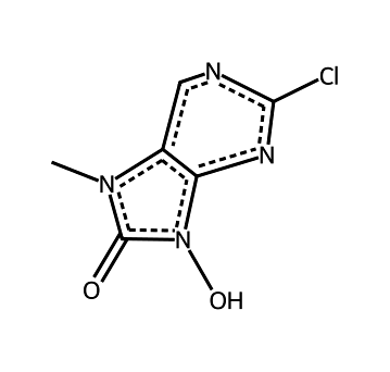 Cn1c(=O)n(O)c2nc(Cl)ncc21